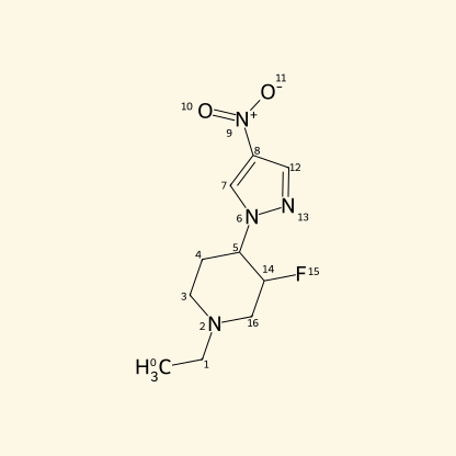 CCN1CCC(n2cc([N+](=O)[O-])cn2)C(F)C1